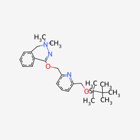 CC(C)(C)[Si](C)(C)OCc1cccc(COC2=N[N+](C)(C)Cc3ccccc32)n1